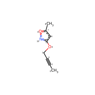 CC#CCOc1cc(C)on1